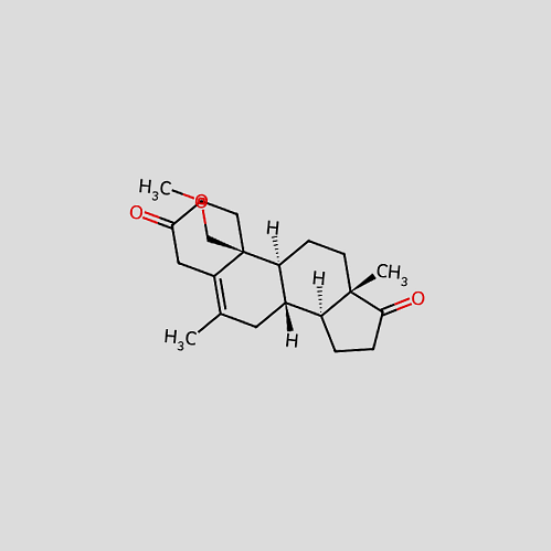 COC[C@]12CCC(=O)CC1=C(C)C[C@@H]1[C@@H]2CC[C@]2(C)C(=O)CC[C@@H]12